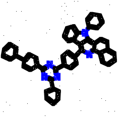 c1ccc(-c2ccc(-c3nc(-c4ccccc4)nc(-c4ccc(-c5nc6c7ccccc7ccc6c6c5c5ccccc5n6-c5ccccc5)cc4)n3)cc2)cc1